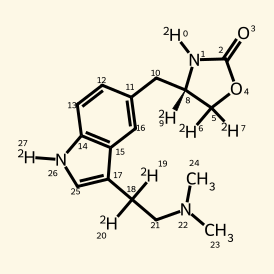 [2H]N1C(=O)OC([2H])([2H])[C@]1([2H])Cc1ccc2c(c1)c(C([2H])([2H])CN(C)C)cn2[2H]